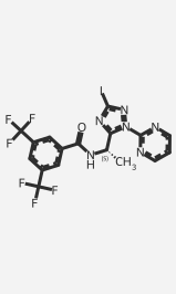 C[C@H](NC(=O)c1cc(C(F)(F)F)cc(C(F)(F)F)c1)c1nc(I)nn1-c1ncccn1